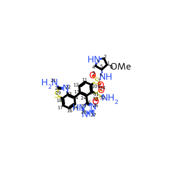 CO[C@H]1CNC[C@@H]1NS(=O)(=O)c1ccc(-c2cccc3sc(N)nc23)c(-c2nnn[nH]2)c1S(N)(=O)=O